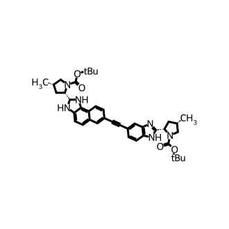 C[C@H]1C[C@@H](c2nc3cc(C#Cc4ccc5c6c(ccc5c4)NC([C@@H]4C[C@H](C)CN4C(=O)OC(C)(C)C)N6)ccc3[nH]2)N(C(=O)OC(C)(C)C)C1